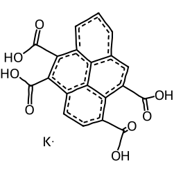 O=C(O)c1c(C(=O)O)c2ccc(C(=O)O)c3c(C(=O)O)cc4cccc1c4c23.[K]